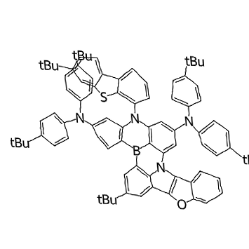 CC(C)(C)c1ccc(N(c2ccc(C(C)(C)C)cc2)c2ccc3c(c2)N(c2cccc4c2sc2cc(C(C)(C)C)ccc24)c2cc(N(c4ccc(C(C)(C)C)cc4)c4ccc(C(C)(C)C)cc4)cc4c2B3c2cc(C(C)(C)C)cc3c5oc6ccccc6c5n-4c23)cc1